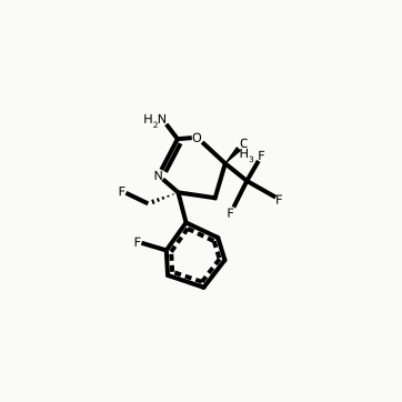 C[C@@]1(C(F)(F)F)C[C@@](CF)(c2ccccc2F)N=C(N)O1